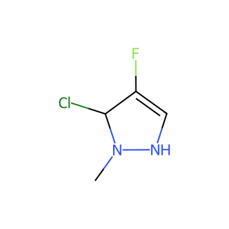 CN1NC=C(F)C1Cl